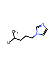 [Li][CH](C)CCCn1ccnc1